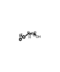 O=C(C#Cc1ccc(-c2ccccc2)c(C(F)(F)F)c1)NCCNS(=O)(=O)CCO